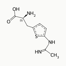 CC(=N)Nc1ccc(C[C@H](N)C(=O)O)s1